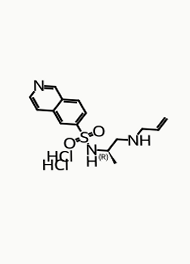 C=CCNC[C@@H](C)NS(=O)(=O)c1ccc2cnccc2c1.Cl.Cl